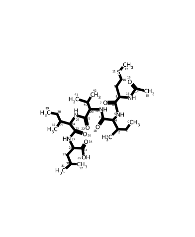 CCC(C)C(NC(=O)C(CCSC)NC(C)=O)C(=O)NC(C(=O)NC(C(=O)NC(CC(C)C)C(=O)O)C(C)CC)C(C)C